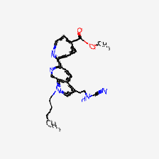 CCCCn1cc(CNC#N)c2cc(-c3cc(C(=O)OC)ccn3)ncc21